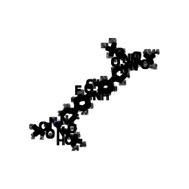 CC(C)(C)OC(=O)/N=C(\NC(=O)OC(C)(C)C)N1CC=C(c2ccc(C(=O)Nc3ccc(C4=CCN(/C(=N/C(=O)OC(C)(C)C)NC(=O)OC(C)(C)C)CC4)cc3Cl)c(F)c2)CC1